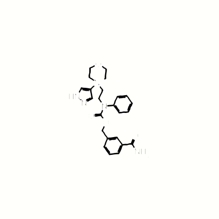 NC(=O)c1cccc(COC(=O)N(CC[N+]2(c3cn[nH]c3)CCOCC2)c2ccccc2)c1